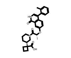 Cc1ccccc1-c1c[nH]c(=O)c2cc(O[C@H](C)C(=O)N3CCC[C@H](C4(C(=O)O)CCC4)C3)ccc12